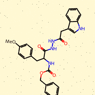 COc1ccc(CC(NC(=O)OCc2ccccc2)C(=O)NNC(=O)Cc2c[nH]c3ccccc23)cc1